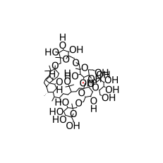 CC(C1C[C@@H](O)[C@]23C(=C4[C@@H]2CCC(OCC2(C)OC(COCC5(C)OC(CO)C(O)C(O)C5O)C(O)C(O)[C@@H]2O)C4(C)C)CC3[C@H]1C)[C@H](C)CCC(CCC1(C)OC(COCC2(C)OC(CO)C(O)C(O)C2O)[C@H](O)C[C@H]1O[C@@]1(C)OC(CO)C(O)C(O)C1O)C(C)(C)O